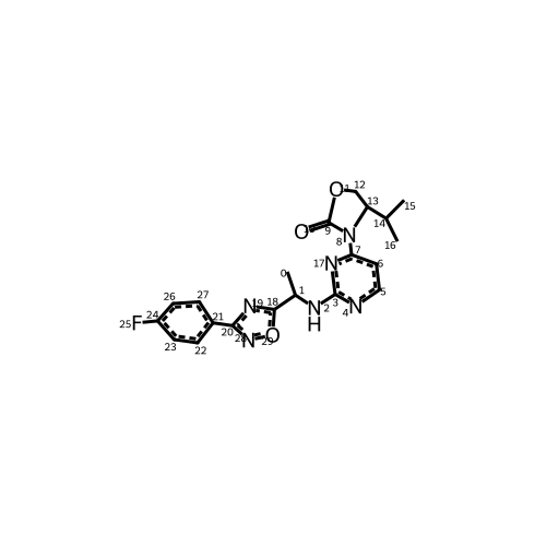 CC(Nc1nccc(N2C(=O)OCC2C(C)C)n1)c1nc(-c2ccc(F)cc2)no1